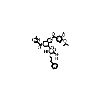 CNC(=O)[C@H](CCCc1ccccc1)NC(=O)C1CN(C(=O)c2coc(C)n2)CC2CN(C(=O)c3ccc(OC(C)C)c(OC)c3)CC21